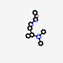 c1ccc(-c2nc(-c3ccccc3)nc(-c3cc(-c4ccc5ccc(-c6cc7c(cn6)oc6ccccc67)nc5c4)c4ccccc4c3)n2)cc1